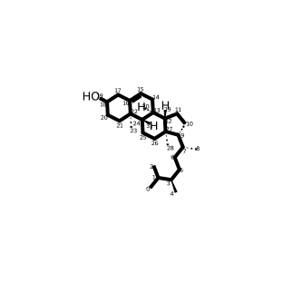 CC(C)[C@H](C)CC[C@@H](C)[C@H]1CC[C@H]2[C@@H]3CC=C4CC(O)CC[C@]4(C)[C@H]3CC[C@]12C